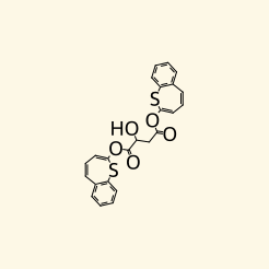 O=C(CC(O)C(=O)OC1=CC=Cc2ccccc2S1)OC1=CC=Cc2ccccc2S1